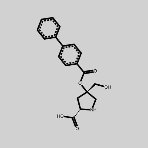 O=C(O[C@]1(CO)CN[C@H](C(=O)O)C1)c1ccc(-c2ccccc2)cc1